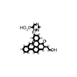 O=C(O)c1cncnn1.O=C1C=c2ccccc2=c2ccc3c(c21)C(c1ccc(F)cc1)C(=O)C(CCO)C=3